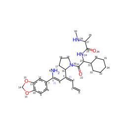 C=C/C=C(\C=C(/N)c1ccc2c(c1)OCO2)C1CCCN1C(=O)C(NC(=O)C(C)NC)C1CCCCC1